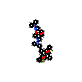 c1ccc2c(c1)-c1cc3sc4ccccc4c3cc1[Si]1(c3ccccc3-c3ccc(-c4ccc5c(c4)c4ccccc4n5-c4ccc5c(n4)-c4ccccc4[Si]4(c6ccccc6-c6ccc(-n7c8ccccc8c8ccccc87)nc6-c6ccccc64)c4ccccc4-5)cc3-c3ccccc31)c1cc3c(cc1-2)sc1ccccc13